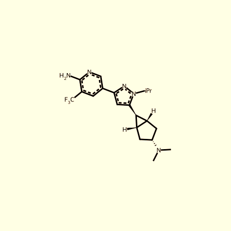 CC(C)n1nc(-c2cnc(N)c(C(F)(F)F)c2)cc1[C@H]1[C@@H]2C[C@H](N(C)C)C[C@@H]21